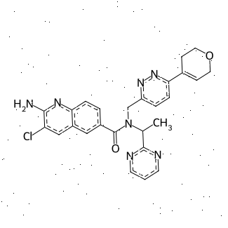 CC(c1ncccn1)N(Cc1ccc(C2=CCOCC2)nn1)C(=O)c1ccc2nc(N)c(Cl)cc2c1